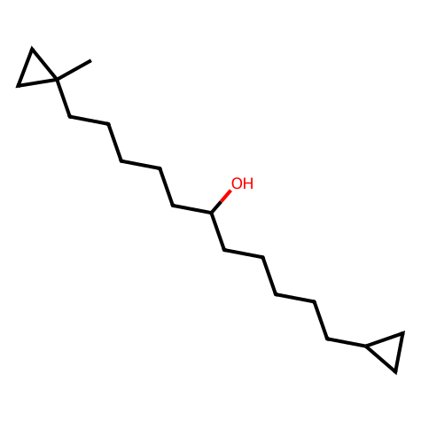 CC1(CCCCCC(O)CCCCCC2CC2)CC1